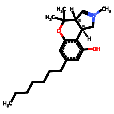 CCCCCCCc1cc(O)c2c(c1)OC(C)(C)[C@@H]1C=[N+](C)C[C@@H]21